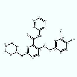 O=C(Nc1cccnc1)c1cc(CN2CCOCC2)ccc1OCc1ccc(F)c(F)c1